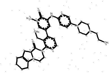 CC(=O)OCc1c(-c2cc(Nc3ccc(N4CCN(CCO)CC4)cn3)c(=O)n(C)c2)ccnc1N1CCN2C3=C(CCCC3)CC2C1=O